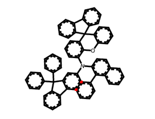 c1ccc(-c2c(N(c3ccc4c(c3)C(c3ccccc3)(c3ccccc3)c3ccccc3-4)c3cccc4c3Oc3ccccc3C43c4ccccc4-c4ccccc43)ccc3ccccc23)cc1